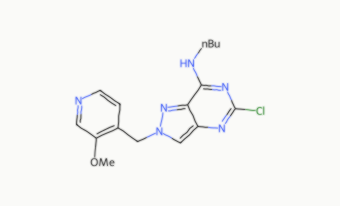 CCCCNc1nc(Cl)nc2cn(Cc3ccncc3OC)nc12